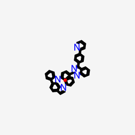 c1ccc(-n2ccc3ccc4c5ccccc5n(-c5ccc(-c6nc(-c7ccc(-c8ccccn8)cc7)c7ccccc7n6)cc5)c4c32)cc1